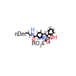 CCCCCCCCCCCCNC(=O)c1ccc(CC(CO)(NC(=O)C(=O)O)c2ccccc2)cc1